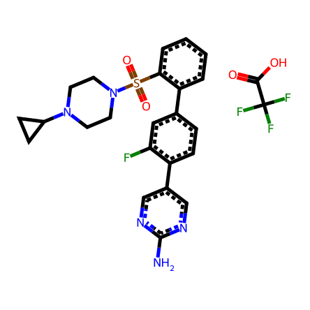 Nc1ncc(-c2ccc(-c3ccccc3S(=O)(=O)N3CCN(C4CC4)CC3)cc2F)cn1.O=C(O)C(F)(F)F